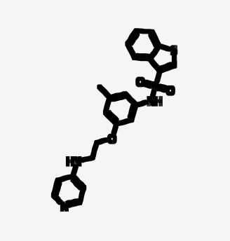 Cc1cc(NS(=O)(=O)c2csc3ccccc23)cc(OCCNc2ccncc2)c1